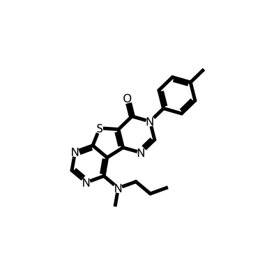 CCCN(C)c1ncnc2sc3c(=O)n(-c4ccc(C)cc4)cnc3c12